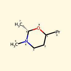 CC(C)C1CCN(C)[C@H](C)O1